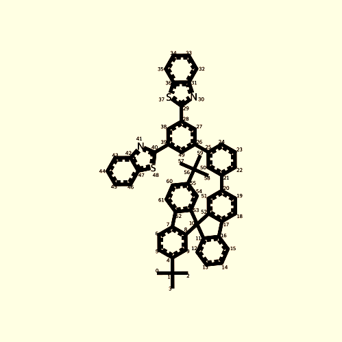 CC(C)(C)c1ccc2c(c1)C1(c3ccccc3-c3ccc(-c4cccc(-c5cc(-c6nc7ccccc7s6)cc(-c6nc7ccccc7s6)c5)c4)cc31)c1cc(C(C)(C)C)ccc1-2